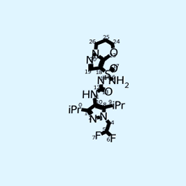 CC(C)c1nn(CC(F)F)c(C(C)C)c1NC(=O)N=S(N)(=O)c1cnn2c1OCCC2